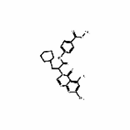 COC(=O)c1ccc(NC(=O)C(CC2CCCCC2)n2cnc3nc(C)cc(C)c3c2=O)cc1